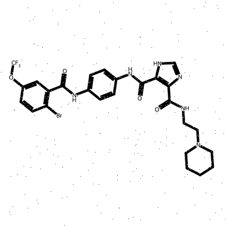 O=C(Nc1ccc(NC(=O)c2[nH]cnc2C(=O)NCCN2CCCCC2)cc1)c1cc(OC(F)(F)F)ccc1Br